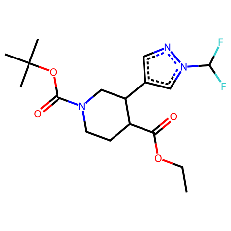 CCOC(=O)C1CCN(C(=O)OC(C)(C)C)CC1c1cnn(C(F)F)c1